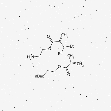 C=C(C(=O)OCCN)C(CC)CC.C=C(C)C(=O)OCCCCCCCCCCCC